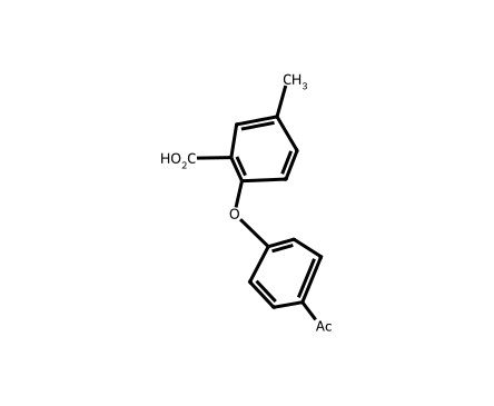 CC(=O)c1ccc(Oc2ccc(C)cc2C(=O)O)cc1